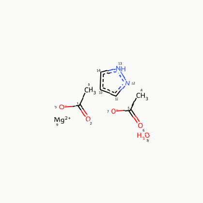 CC(=O)[O-].CC(=O)[O-].O.[Mg+2].c1cn[nH]c1